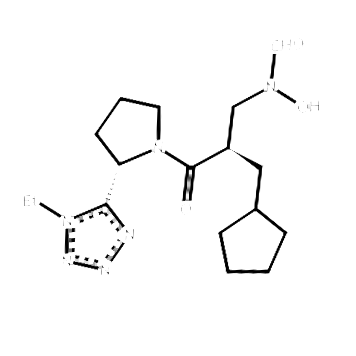 CCn1nnnc1[C@@H]1CCCN1C(=O)[C@H](CC1CCCC1)CN(O)C=O